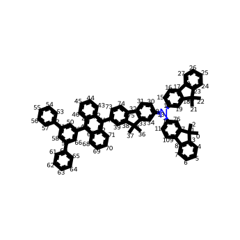 CC1(C)c2ccccc2-c2ccc(N(c3ccc4c(c3)C(C)(C)c3ccccc3-4)c3ccc4c(c3)C(C)(C)c3cc(-c5c6ccccc6c(-c6cc(-c7ccccc7)cc(-c7ccccc7)c6)c6ccccc56)ccc3-4)cc21